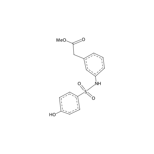 COC(=O)Cc1cccc(NS(=O)(=O)c2ccc(O)cc2)c1